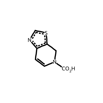 O=C(O)N1C=Cc2ncsc2C1